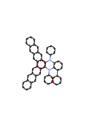 c1ccc(-c2cccc(N(c3ccccc3)c3ccc4cc5cc6ccccc6cc5cc4c3)c2N(c2ccccc2)c2ccc3cc4cc5ccccc5cc4cc3c2)cc1